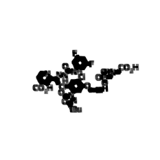 C#CCOc1cc(-n2nc(C(C)(C)C)oc2=O)c(Cl)cc1Cl.C/C(=N\NC(=O)Nc1cc(F)cc(F)c1)c1ncccc1C(=O)O.O=C(O)CNCP(=O)(O)O